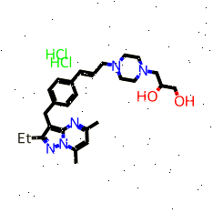 CCc1nn2c(C)cc(C)nc2c1Cc1ccc(C=CCN2CCN(CC(O)CO)CC2)cc1.Cl.Cl